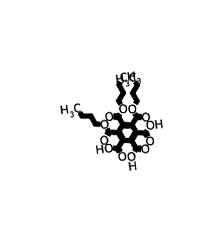 CCCCOC(=O)c1c(C(=O)O)c(C(=O)O)c(C(=O)O)c(C(=O)OCCCC)c1C(=O)OCCCC